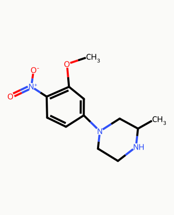 COc1cc(N2CCNC(C)C2)ccc1[N+](=O)[O-]